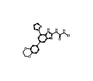 CCNC(=O)Nc1nc2cc(-c3ccc4c(c3)OCCO4)cc(-n3cccn3)c2[nH]1